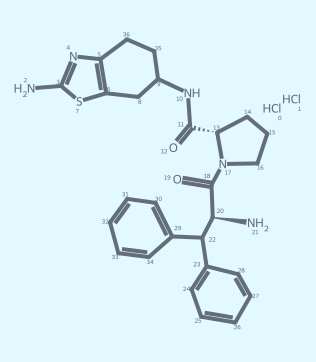 Cl.Cl.Nc1nc2c(s1)CC(NC(=O)[C@@H]1CCCN1C(=O)[C@@H](N)C(c1ccccc1)c1ccccc1)CC2